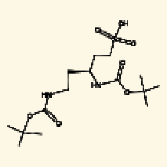 CC(C)(C)OC(=O)NCC[C@@H](CCS(=O)(=O)O)NC(=O)OC(C)(C)C